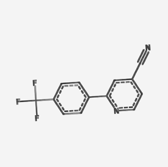 N#Cc1ccnc(-c2ccc(C(F)(F)F)cc2)c1